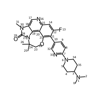 CN(C)C1CCN(c2ccc(-c3c(F)cc4ncc5c6c4c3OCC(C)(C)n6c(=O)n5C)cn2)CC1